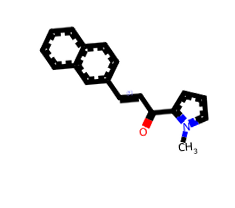 Cn1cccc1C(=O)/C=C/c1ccc2ccccc2c1